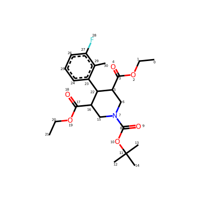 CCOC(=O)C1CN(C(=O)OC(C)(C)C)CC(C(=O)OCC)C1c1cccc(F)c1C